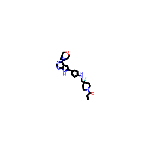 C=CC(=O)N1CCC(F)(CNc2ccc(-c3cc4c(N5C6CCC5COC6)ncnc4[nH]3)cc2)CC1